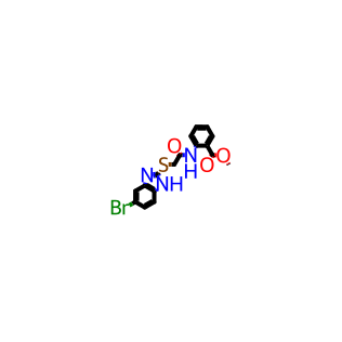 COC(=O)c1ccccc1NC(=O)CSc1nc2cc(Br)ccc2[nH]1